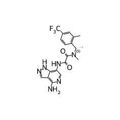 Cc1cc(C(F)(F)F)ccc1[C@H](C)N(C)C(=O)C(=O)Nc1cnc(N)c2cn[nH]c12